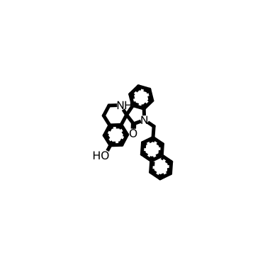 O=C1N(Cc2ccc3ccccc3c2)c2ccccc2C12NCCc1cc(O)ccc12